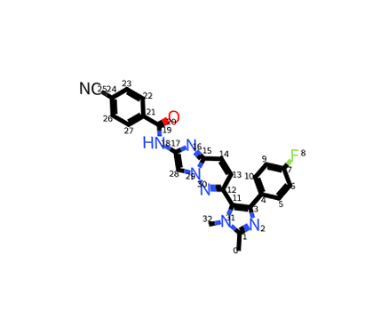 Cc1nc(-c2ccc(F)cc2)c(-c2ccc3nc(NC(=O)c4ccc(C#N)cc4)cn3n2)n1C